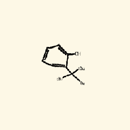 CC(C)(C)C(Br)(c1ccccc1O)C(C)(C)C